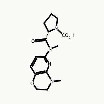 CN1CCOc2ccc(N(C)C(=O)[C@@H]3CCCN3C(=O)O)nc21